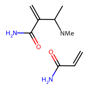 C=C(C(N)=O)C(C)NC.C=CC(N)=O